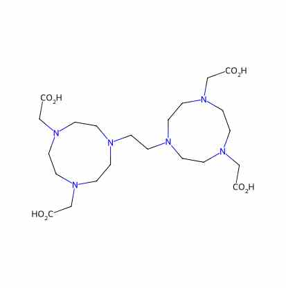 O=C(O)CN1CCN(CCN2CCN(CC(=O)O)CCN(CC(=O)O)CC2)CCN(CC(=O)O)CC1